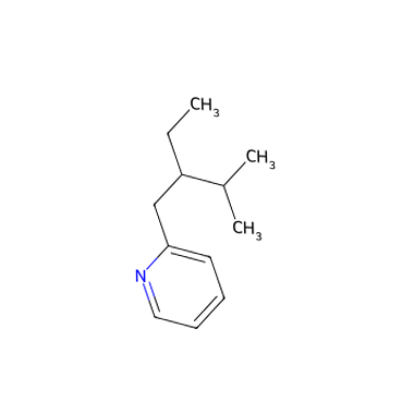 CCC(Cc1ccccn1)C(C)C